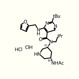 CC(=O)N[C@H]1CNC[C@@H](N(CC(C)C)C(=O)c2cnc(C(C)(C)C)nc2NCc2ccco2)C1.Cl.Cl